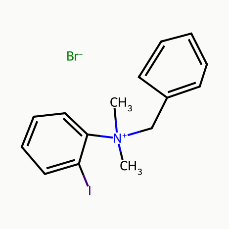 C[N+](C)(Cc1ccccc1)c1ccccc1I.[Br-]